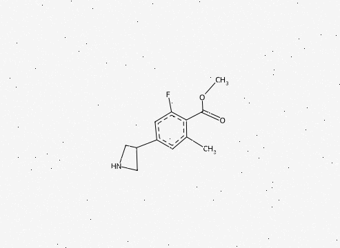 COC(=O)c1c(C)cc(C2CNC2)cc1F